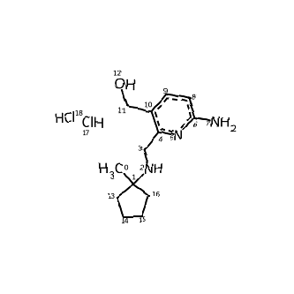 CC1(NCc2nc(N)ccc2CO)CCCC1.Cl.Cl